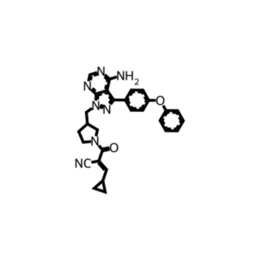 N#C/C(=C\C1CC1)C(=O)N1CCC(Cn2nc(-c3ccc(Oc4ccccc4)cc3)c3c(N)ncnc32)C1